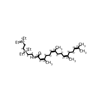 CCN(CC)CC[N+](CC)(CC)CCNC(=O)C=C(C)CCC=C(C)CCC=C(C)CCC=C(C)C